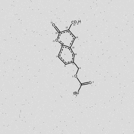 CC(C)(C)C(=O)OCc1ccc2oc(=O)c(C(=O)O)cc2c1